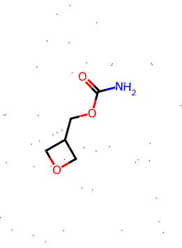 NC(=O)OCC1COC1